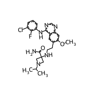 COc1cc2ncnc(Nc3cccc(Cl)c3F)c2cc1CCNC1(C(N)=O)CN(C(C)C)C1